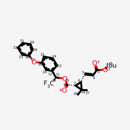 CC(C)(C)OC(=O)C=C[C@H]1[C@@H](C(=O)O[C@H](c2cccc(Oc3ccccc3)c2)C(F)(F)F)C1(C)C